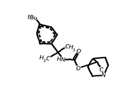 CC(C)(C)c1ccc(C(C)(C)NC(=O)OC2CN3CCC2CC3)cc1